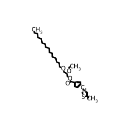 CCCCCCCCCCCCCCCCOCC(COC(=O)c1ccc(CN2C=C(C)SC2)cc1)OCC